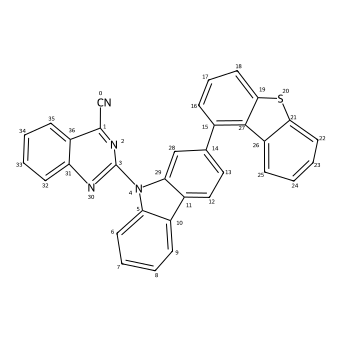 N#Cc1nc(-n2c3ccccc3c3ccc(-c4cccc5sc6ccccc6c45)cc32)nc2ccccc12